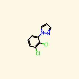 Clc1cccc(-n2cccn2)c1Cl